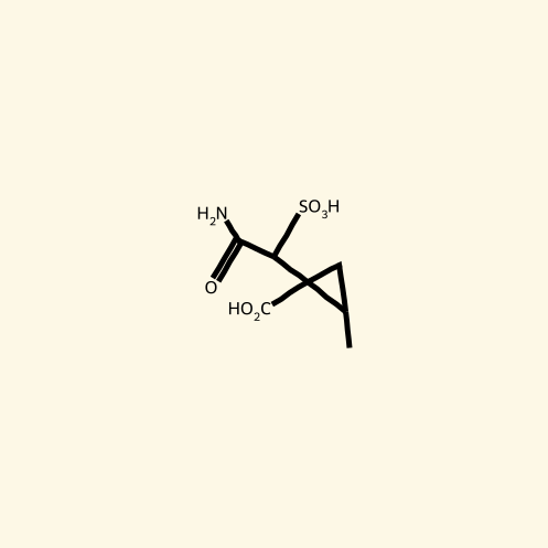 CC1CC1(C(=O)O)C(C(N)=O)S(=O)(=O)O